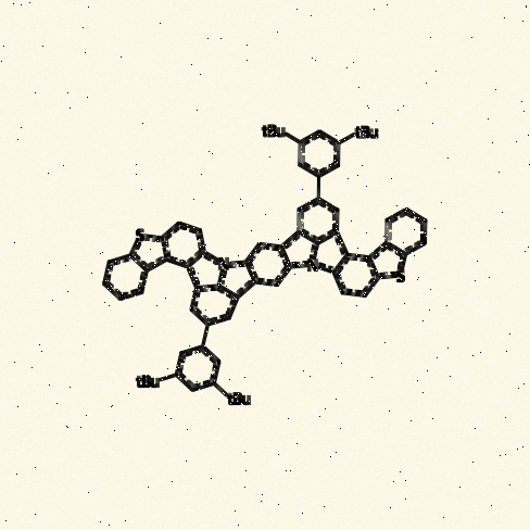 CC(C)(C)c1cc(-c2cc3c4cc5c(cc4n4c6ccc7sc8ccccc8c7c6c(c2)c34)c2cc(-c3cc(C(C)(C)C)cc(C(C)(C)C)c3)cc3c4c6c(ccc4n5c23)sc2ccccc26)cc(C(C)(C)C)c1